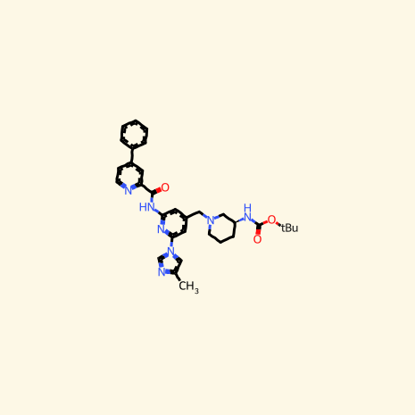 Cc1cn(-c2cc(CN3CCC[C@H](NC(=O)OC(C)(C)C)C3)cc(NC(=O)c3cc(-c4ccccc4)ccn3)n2)cn1